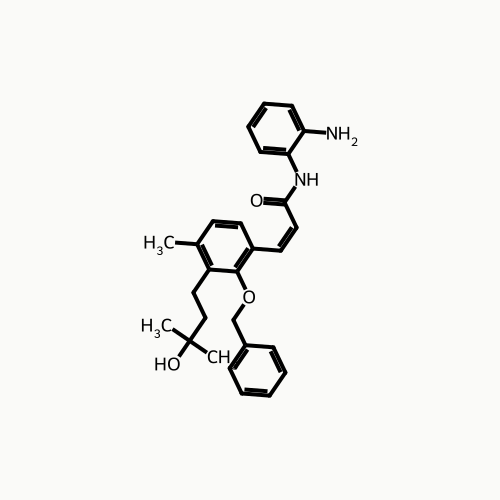 Cc1ccc(/C=C\C(=O)Nc2ccccc2N)c(OCc2ccccc2)c1CCC(C)(C)O